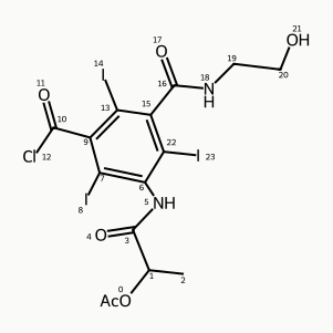 CC(=O)OC(C)C(=O)Nc1c(I)c(C(=O)Cl)c(I)c(C(=O)NCCO)c1I